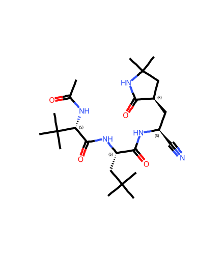 CC(=O)N[C@H](C(=O)N[C@@H](CC(C)(C)C)C(=O)N[C@H](C#N)C[C@@H]1CC(C)(C)NC1=O)C(C)(C)C